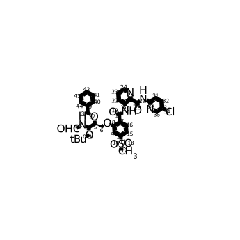 CC(C)(C)OC(NC=O)[C@H](COc1cc(S(C)(=O)=O)ccc1C(=O)Nc1cccnc1C(=O)Nc1ccc(Cl)cn1)OCc1ccccc1